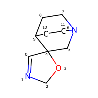 C1=NCOC12CN1CCC2CC1